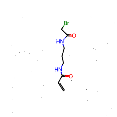 C=CC(=O)NCCCNC(=O)CBr